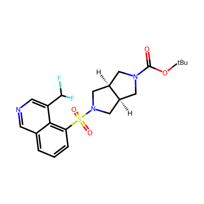 CC(C)(C)OC(=O)N1C[C@@H]2CN(S(=O)(=O)c3cccc4cncc(C(F)F)c34)C[C@@H]2C1